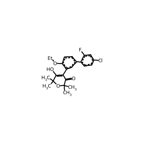 CCOc1ccc(-c2ccc(Cl)cc2F)cc1C1=C(O)C(C)(C)OC(C)(C)C1=O